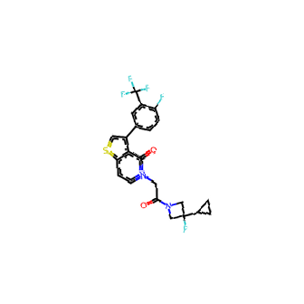 O=C(Cn1ccc2scc(-c3ccc(F)c(C(F)(F)F)c3)c2c1=O)N1CC(F)(C2CC2)C1